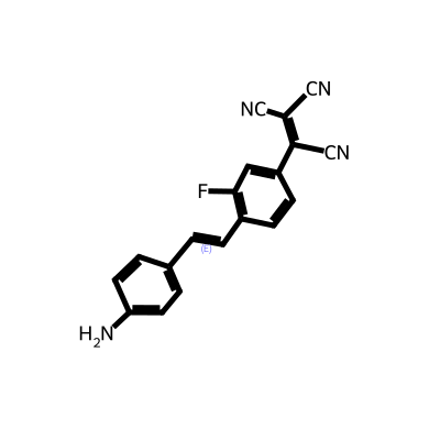 N#CC(C#N)=C(C#N)c1ccc(/C=C/c2ccc(N)cc2)c(F)c1